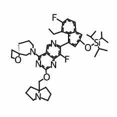 CCc1c(F)ccc2cc(O[Si](C(C)C)(C(C)C)C(C)C)cc(-c3ncc4c(N5CCC[C@]6(CCO6)C5)nc(OCC56CCCN5CCC6)nc4c3F)c12